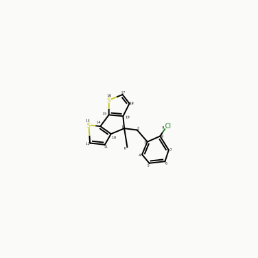 CC1(Cc2ccccc2Cl)c2ccsc2-c2sccc21